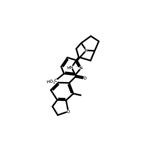 Cc1c(C(=O)NC2CC3CCC(C2)N3c2ccc(C(=O)O)cn2)ccc2c1OCC2